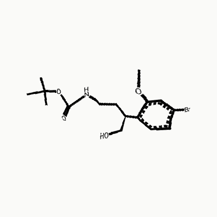 COc1cc(Br)ccc1[C@@H](CO)CCNC(=O)OC(C)(C)C